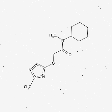 CN(C(=O)COc1nc(C(Cl)(Cl)Cl)ns1)C1CCCCC1